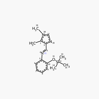 Cc1c(/C=N/c2ccccc2O[Si](C)(C)C)ncn1C